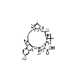 CC[C@@H]1[C@@H]2CN(C(=O)[C@H](C(C)(C)C)NC(=O)O[C@@H]3C[C@H](C)[C@H](C)[C@H]3CCCCC(F)(F)c3nc4ccc(OC)cc4nc3O2)[C@@H]1C(=O)O